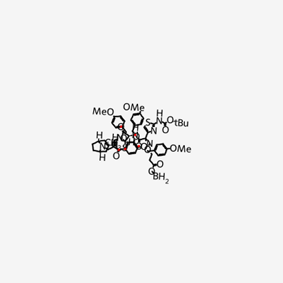 BOC(=O)CCO/N=C(\C(=O)N[C@@H]1C(=O)N2C=C(C[N@+]3(C)[C@@H]4CC[C@H]3C[C@@H](NC(=O)c3ccc(OCc5ccc(OC)cc5)c(OCc5ccc(OC)cc5)c3OCc3ccc(OC)cc3)C4)CS[C@H]12)c1csc(NC(=O)OC(C)(C)C)n1